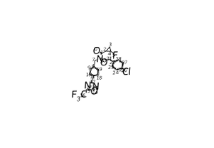 O=C(C1CC1F)N(Cc1ccc(-c2noc(C(F)(F)F)n2)cc1)OCc1ccc(Cl)cc1